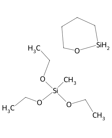 C1CC[SiH2]OC1.CCO[Si](C)(OCC)OCC